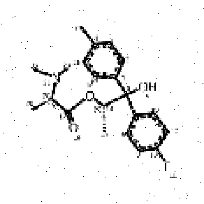 Cc1ccc(C(O)(c2ccc(F)cc2)[C@H](C)OC(=O)[C@@H](C)N(C)C)cc1